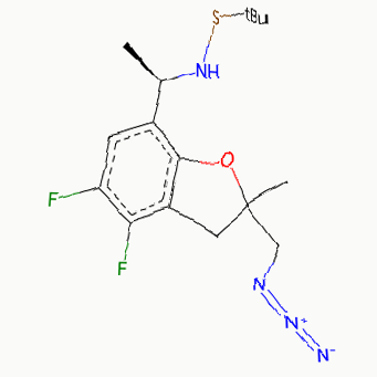 C[C@@H](NSC(C)(C)C)c1cc(F)c(F)c2c1OC(C)(CN=[N+]=[N-])C2